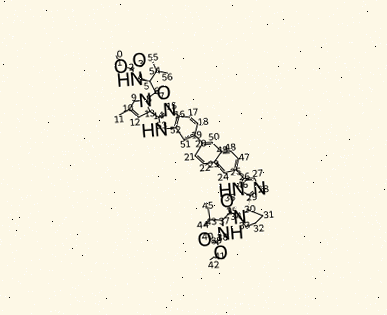 COC(=O)N[C@H](C(=O)N1CC(C)=CC1c1nc2ccc(-c3ccc4cc(-c5cnc([C@@H]6CCCN6C(=O)[C@@H](NC(=O)OC)C(C)C)[nH]5)ccc4c3)cc2[nH]1)C(C)C